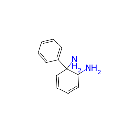 NC1C=CC=CC1(N)c1ccccc1